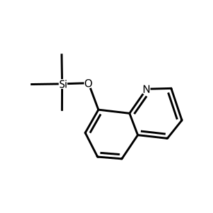 C[Si](C)(C)Oc1cccc2cccnc12